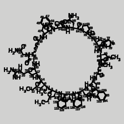 CCCC[C@H]1C(=O)N(C)[C@@H](CCCC)C(=O)NC(CCCNC(=N)N)C(=O)N[C@H](C(=O)NCC(N)=O)CSCC(=O)N[C@@H](Cc2ccccc2)C(=O)N(C)[C@@H](C)C(=O)N[C@@H](CC(N)=O)C(=O)N2CCC[C@H]2C(=O)N[C@@H](Cc2cnc[nH]2)C(=O)N[C@@H](CC(C)C)C(=O)N(C)CC(=O)N[C@@H](Cc2c[nH]c3ccccc23)C(=O)N[C@@H](CO)C(=O)N[C@@H](C(c2ccccc2)c2ccccc2)C(=O)N1C